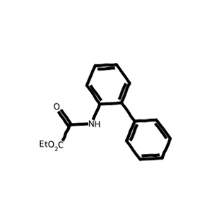 CCOC(=O)C(=O)Nc1ccccc1-c1ccccc1